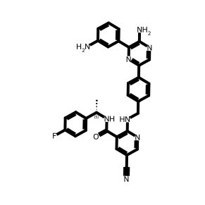 C[C@H](NC(=O)c1cc(C#N)cnc1NCc1ccc(-c2cnc(N)c(-c3cccc(N)c3)n2)cc1)c1ccc(F)cc1